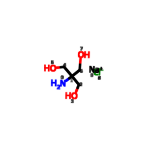 NC(CO)(CO)CO.[Cl-].[Na+]